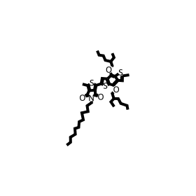 CCCCCCCCCCCCN1C(=O)c2c(C)sc(-c3cc4c(OCC(CC)CCCC)c5sc(C)cc5c(OCC(CC)CCCC)c4s3)c2C1=O